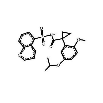 COc1ccc(OC(C)C)cc1C1(C(=O)NS(=O)(=O)c2cccc3ncccc23)CC1